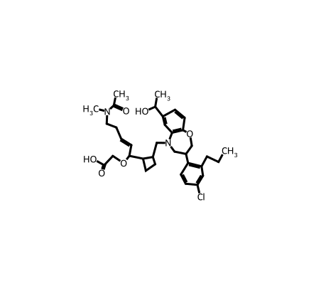 CCCc1cc(Cl)ccc1C1COc2ccc(C(C)O)cc2N(CC2CCC2C(/C=C/CCN(C)C(C)=O)OCC(=O)O)C1